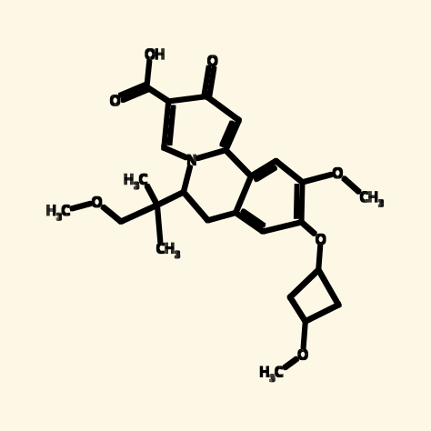 COCC(C)(C)C1Cc2cc(OC3CC(OC)C3)c(OC)cc2-c2cc(=O)c(C(=O)O)cn21